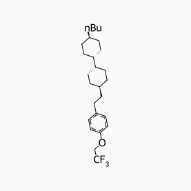 CCCC[C@H]1CC[C@H]([C@H]2CC[C@H](CCc3ccc(OCC(F)(F)F)cc3)CC2)CC1